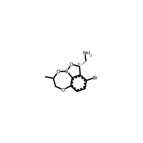 CC1COc2ccc(Br)c3c2B(O1)O[C@@H]3CN